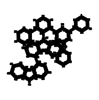 c1ccc(-c2nc(-c3ccccc3)nc(-c3cccc(-c4ccccc4)c3-n3c4ccccc4c4c(-c5cccc6sc7ccccc7c56)cccc43)n2)cc1